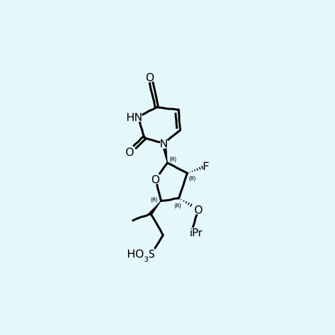 CC(C)O[C@H]1[C@@H](F)[C@H](n2ccc(=O)[nH]c2=O)O[C@@H]1C(C)CS(=O)(=O)O